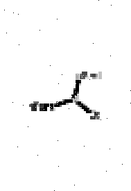 [CH2]CN(CCCCC)CCCCC